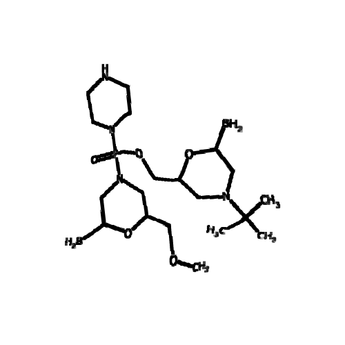 BC1CN(C(C)(C)C)CC(COP(=O)(N2CCNCC2)N2CC(B)OC(COC)C2)O1